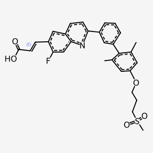 Cc1cc(OCCCS(C)(=O)=O)cc(C)c1-c1cccc(-c2ccc3cc(/C=C/C(=O)O)c(F)cc3n2)c1